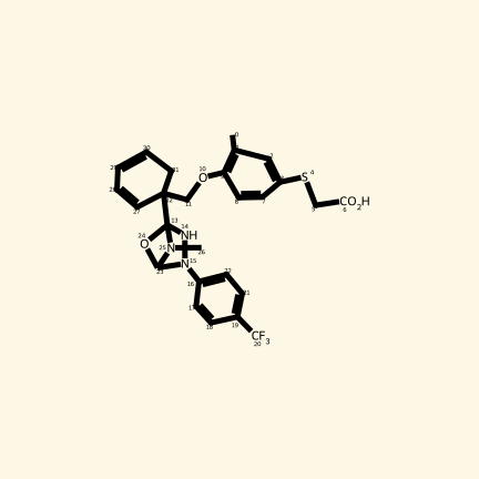 Cc1cc(SCC(=O)O)ccc1OCC1(C23NN(c4ccc(C(F)(F)F)cc4)C(O2)N3C)C=CC=CC1